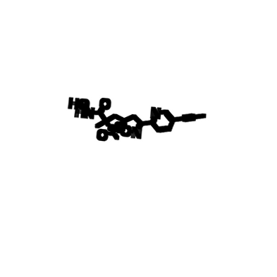 CC#Cc1ccc(C2=NOC(CC(C)(C(=O)NO)S(C)(=O)=O)C2)nc1